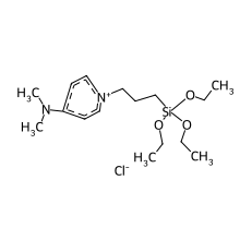 CCO[Si](CCC[n+]1ccc(N(C)C)cc1)(OCC)OCC.[Cl-]